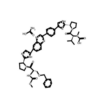 COC(=O)N[C@@H](COCc1ccccc1)C(=O)N1CCC[C@H]1c1ncc(-c2ccc3nc(-c4ccc(-c5c[nH]c([C@@H]6CCCN6C(=O)[C@H](C(C)C)N(C)C(=O)O)n5)cc4)cnc3c2)[nH]1.NC(=O)O